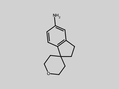 Nc1ccc2c(c1)CCC21CCOCC1